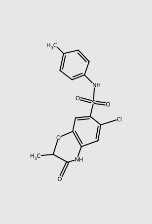 Cc1ccc(NS(=O)(=O)c2cc3c(cc2Cl)NC(=O)C(C)O3)cc1